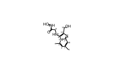 Cc1cc(C)n2c(NCC(=O)NO)c(CO)nc2c1